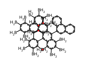 Bc1c(B)c(B)c(-c2c(B)c3c(B)c(B)c(B)c(B)c3c3c(B)c(B)c(B)c(B)c23)c(-c2c3c(B)c(B)c(B)c(B)c3c(-c3cc4ccccc4c4ccccc34)c3c(B)c(B)c(B)c(B)c23)c1B